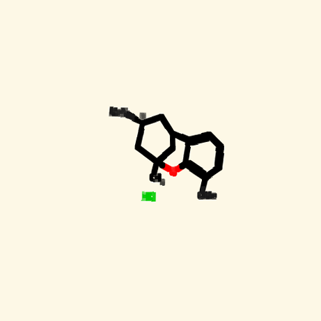 CN[C@H]1CC2CC(C)(C1)Oc1c(OC)cccc12.Cl